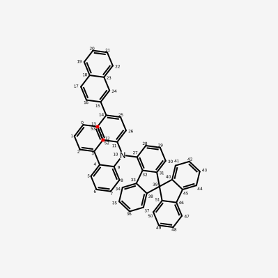 c1ccc(-c2ccccc2N(c2ccc(-c3ccc4ccccc4c3)cc2)c2cccc3c2-c2ccccc2C32c3ccccc3-c3ccccc32)cc1